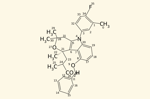 Cc1cc(-n2c3c(c4c(OCc5ccccc5)cccc42)[C@@](C)(CC(C)C(=O)O)OC(C)(C)C3)ccc1F